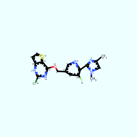 Cn1cc(C(F)(F)F)nc1-c1ncc(COc2nc(Cl)nc3ccsc23)cc1F